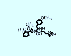 CCOC1(c2ccccc2C)CN(C(=O)C(Cc2ccc(OC)cc2)NC(=O)CCc2c[nH]cn2)C1